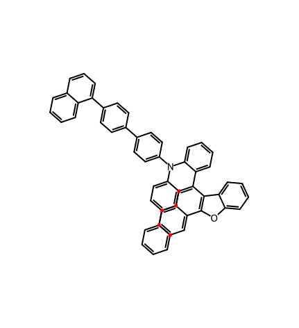 c1ccc(-c2ccc(N(c3ccc(-c4ccc(-c5cccc6ccccc56)cc4)cc3)c3ccccc3-c3cc4ccccc4c4oc5ccccc5c34)cc2)cc1